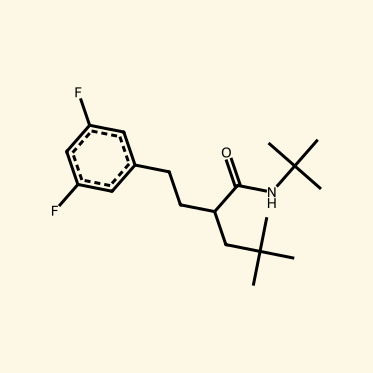 CC(C)(C)CC(CCc1cc(F)cc(F)c1)C(=O)NC(C)(C)C